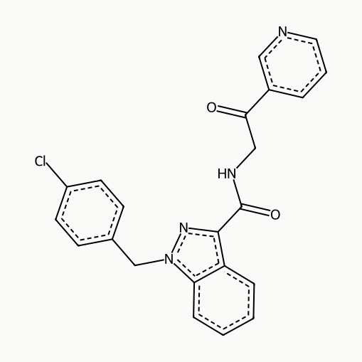 O=C(CNC(=O)c1nn(Cc2ccc(Cl)cc2)c2ccccc12)c1cccnc1